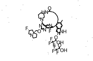 Cc1cc2[nH]ncc2c2c1CCCCC(=O)N[C@]1(C)CCCN(C1)c1nc(OC[C@@]34CCCN3C[C@H](F)C4)nc3c(F)c-2ncc13.O=C(O)C(F)(F)F.O=C(O)C(F)(F)F